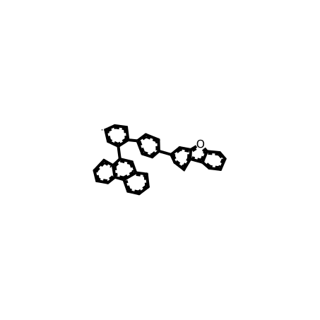 [c]1ccc(-c2ccc(-c3ccc4c(c3)oc3ccccc34)cc2)c(-c2cc3ccccc3c3ccccc23)c1